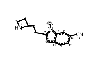 CCn1c(CCC2CCN2)cc2ccc(C#N)cc21